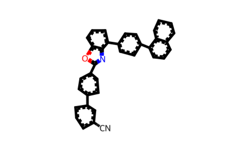 N#Cc1cccc(-c2ccc(-c3nc4c(-c5ccc(-c6cccc7ccccc67)cc5)cccc4o3)cc2)c1